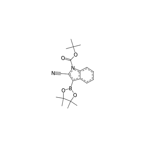 CC(C)(C)OC(=O)n1c(C#N)c(B2OC(C)(C)C(C)(C)O2)c2ccccc21